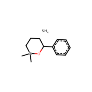 C[Si]1(C)CCCC(c2ccccc2)O1.[SiH4]